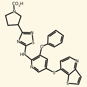 O=C(O)N1CCC(c2nsc(Nc3ncc(Sc4ccnc5ccsc45)cc3Oc3ccccc3)n2)C1